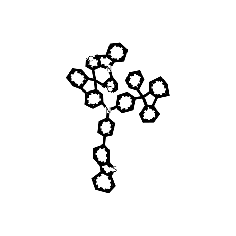 c1ccc(C2(c3ccc(N(c4ccc(-c5ccc6c(c5)sc5ccccc56)cc4)c4ccc5c(c4)C4(c6ccccc6-5)c5ccccc5-n5c6ccccc6c6cccc4c65)cc3)c3ccccc3-c3ccccc32)cc1